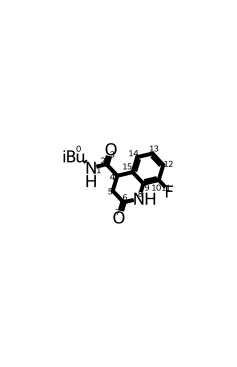 CCC(C)NC(=O)C1CC(=O)Nc2c(F)cccc21